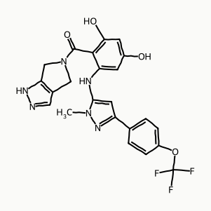 Cn1nc(-c2ccc(OC(F)(F)F)cc2)cc1Nc1cc(O)cc(O)c1C(=O)N1Cc2cn[nH]c2C1